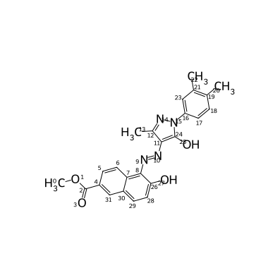 COC(=O)c1ccc2c(N=Nc3c(C)nn(-c4ccc(C)c(C)c4)c3O)c(O)ccc2c1